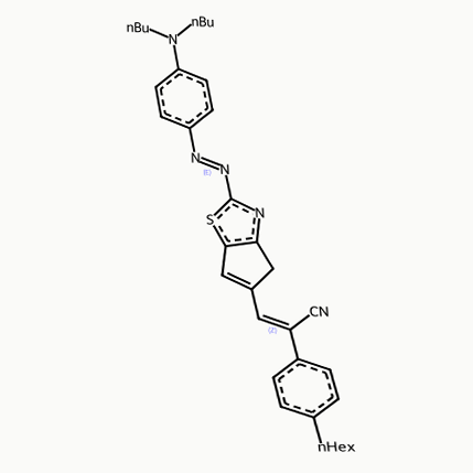 CCCCCCc1ccc(/C(C#N)=C/C2=Cc3sc(/N=N/c4ccc(N(CCCC)CCCC)cc4)nc3C2)cc1